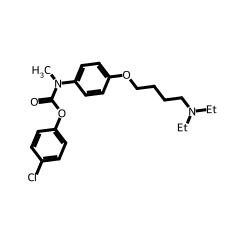 CCN(CC)CCCCOc1ccc(N(C)C(=O)Oc2ccc(Cl)cc2)cc1